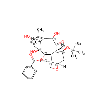 CC(=O)O[C@@]12CO[C@@H]1C[C@H](O[Si](C)(C)C(C)(C)C)[C@@]1(C)C(=O)[C@H](O)C3=C(C)[C@@H](O)C[C@@](O)([C@@H](OC(=O)c4ccccc4)C12)C3(C)C